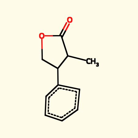 CC1C(=O)OCC1c1ccccc1